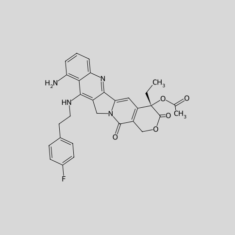 CC[C@@]1(OC(C)=O)C(=O)OCc2c1cc1n(c2=O)Cc2c-1nc1cccc(N)c1c2NCCc1ccc(F)cc1